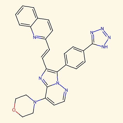 C(=Cc1nc2c(N3CCOCC3)ccnn2c1-c1ccc(-c2nnn[nH]2)cc1)c1ccc2ccccc2n1